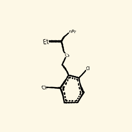 CCCC(CC)OCc1c(Cl)cccc1Cl